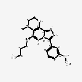 CN1CCOc2c1c(NCCCO)nn1c(-c3cccc(OC(F)(F)F)c3)nnc21